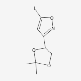 CC1(C)OCC(c2cc(I)on2)O1